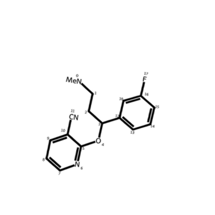 CNCCC(Oc1ncccc1C#N)c1cccc(F)c1